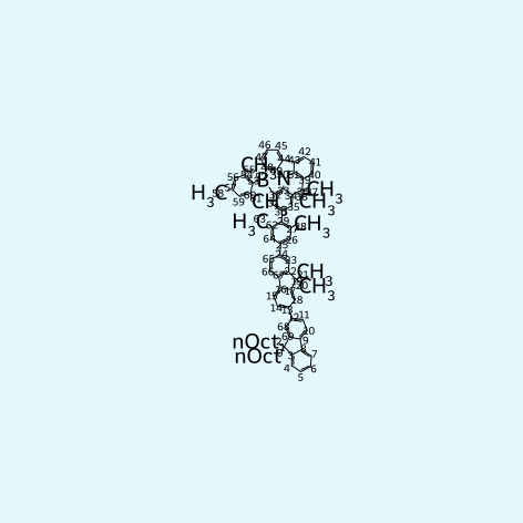 CCCCCCCCC1(CCCCCCCC)c2ccccc2-c2ccc(-c3ccc4c(c3)C(C)(C)c3cc(-c5cc(C)c(-c6cc7c8c(c6)C(C)(C)c6cccc9c%10cccc(c%10n-8c69)B7c6c(C)cc(C)cc6C)c(C)c5)ccc3-4)cc21